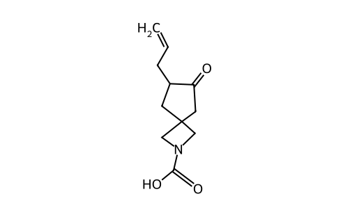 C=CCC1CC2(CC1=O)CN(C(=O)O)C2